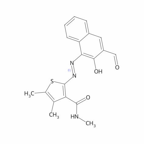 CNC(=O)c1c(/N=N/c2c(O)c(C=O)cc3ccccc23)sc(C)c1C